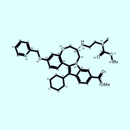 COC(=O)c1ccc2c(C3CCCCC3)c3n(c2c1)C[C@@H](NCCN(C)C(=O)OC(C)(C)C)COc1cc(OCc2ccccn2)ccc1-3